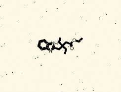 CCOC(=O)CC(CC)(CC)Cc1nc2ccccc2[nH]1